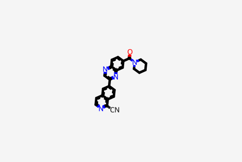 N#Cc1nccc2cc(-c3cnc4ccc(C(=O)N5CCCCC5)cc4n3)ccc12